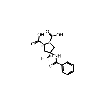 C[C@@]1(NC(=O)c2ccccc2)C[C@@H](C(=O)O)N(C(=O)O)C1